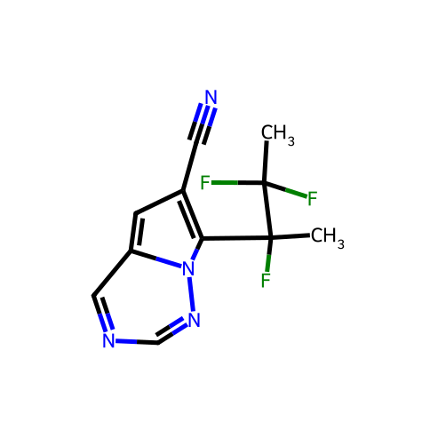 CC(F)(F)C(C)(F)c1c(C#N)cc2cncnn12